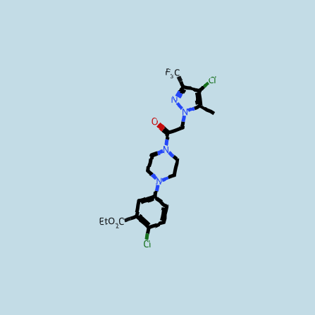 CCOC(=O)c1cc(N2CCN(C(=O)Cn3nc(C(F)(F)F)c(Cl)c3C)CC2)ccc1Cl